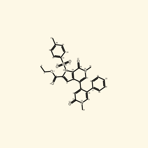 CCOC(=O)c1cc2c(-c3cc(=O)n(C)cc3-c3ccccc3)cn(C)c(=O)c2n1S(=O)(=O)c1ccc(C)cc1